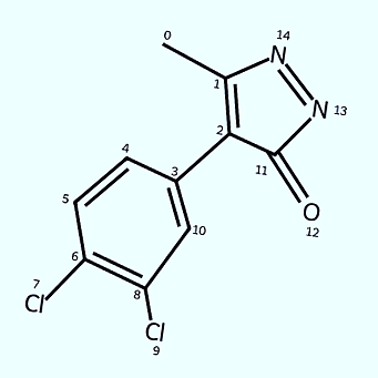 CC1=C(c2ccc(Cl)c(Cl)c2)C(=O)N=N1